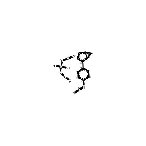 O=C=NS(=O)(=O)N=C=O.O=C=Nc1ccc(-c2ccc3cc2-3)cc1